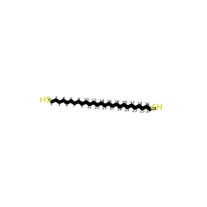 SCCCCCCCCCCCCCCCCCCCCCCCCCCCS